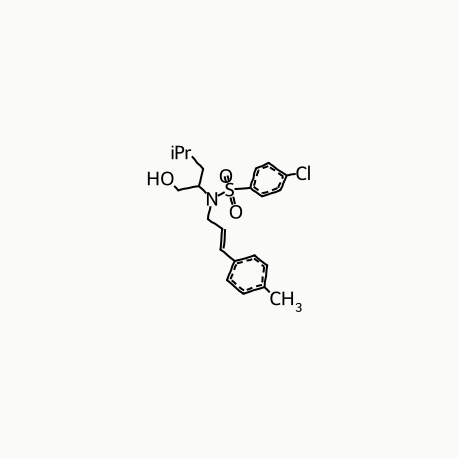 Cc1ccc(/C=C/CN(C(CO)CC(C)C)S(=O)(=O)c2ccc(Cl)cc2)cc1